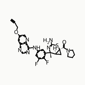 C#CCOc1cnc2c(Nc3cc(F)c(F)c([C@]4(C)N=C(N)S[C@@]5(C(=O)N6CCCC6)C[C@@H]45)c3)ncnc2c1